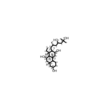 C[C@@H](CC(O)CC(C)(C)O)[C@H]1CC[C@H]2[C@@H]3[C@H](O)C[C@H]4C[C@H](O)CC[C@]4(C)[C@H]3C[C@H](O)[C@]12C